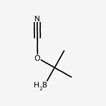 BC(C)(C)OC#N